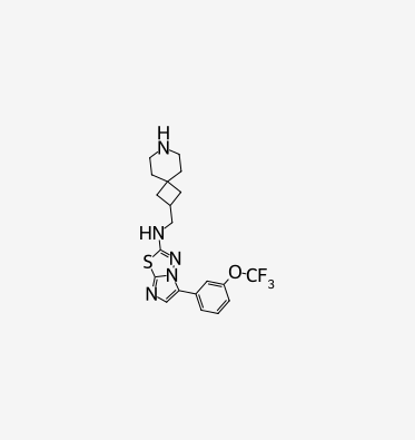 FC(F)(F)Oc1cccc(-c2cnc3sc(NCC4CC5(CCNCC5)C4)nn23)c1